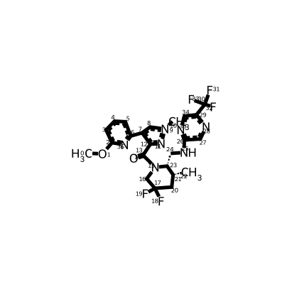 COc1cccc(-c2cn(C)nc2C(=O)N2CC(F)(F)C[C@@H](C)[C@H]2CNc2cnc(C(F)(F)F)cn2)n1